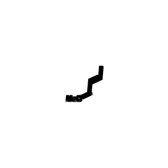 C/C=C/[CH]OC